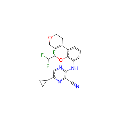 N#Cc1nc(C2CC2)cnc1Nc1cccc(C2=CCOCC2)c1OC(F)C(F)F